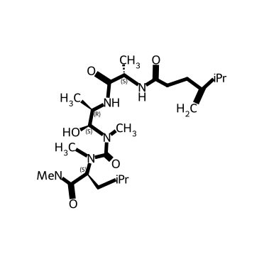 C=C(CCC(=O)N[C@@H](C)C(=O)N[C@H](C)[C@H](O)N(C)C(=O)N(C)[C@@H](CC(C)C)C(=O)NC)C(C)C